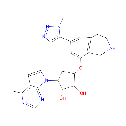 Cc1ncnc2c1ccn2C1CC(Oc2cc(-c3cnnn3C)cc3c2CNCC3)C(O)C1O